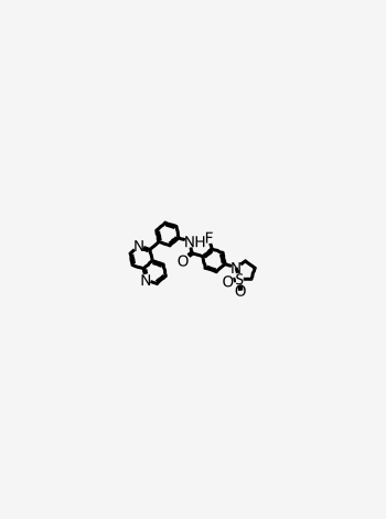 O=C(Nc1cccc(-c2nccc3ncccc23)c1)c1ccc(N2CCCS2(=O)=O)cc1F